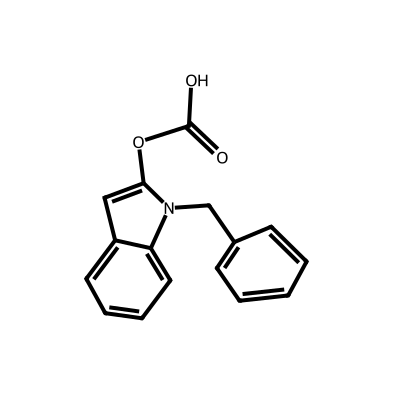 O=C(O)Oc1cc2ccccc2n1Cc1ccccc1